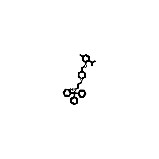 Cc1ccc(C(C)C)c(OCC2CCN(CCCNC(c3ccccc3)(c3ccccc3)c3ccccc3)CC2)c1